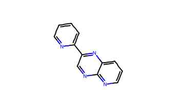 c1ccc(-c2cnc3ncccc3n2)nc1